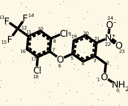 NOCc1cc(Oc2c(Cl)cc(C(F)(F)F)cc2Cl)ccc1[N+](=O)[O-]